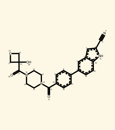 N#Cc1cc2cc(-c3ccc(C(=O)N4CCN(C(=O)C5(O)COC5)CC4)cc3)ccc2[nH]1